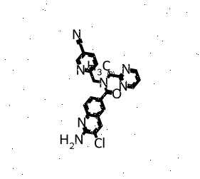 C[C@H](c1ncccn1)N(Cc1ccc(C#N)cn1)C(=O)c1ccc2nc(N)c(Cl)cc2c1